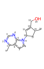 Cc1ncnc2c1ccn2C1C=C(CO)C(C)C1